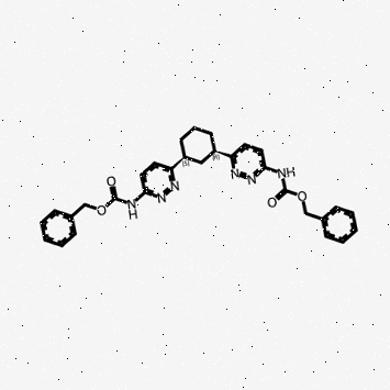 O=C(Nc1ccc([C@@H]2CCC[C@H](c3ccc(NC(=O)OCc4ccccc4)nn3)C2)nn1)OCc1ccccc1